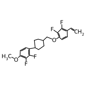 C=Cc1ccc(OCC2CCC(c3ccc(OC)c(F)c3F)CC2)c(F)c1F